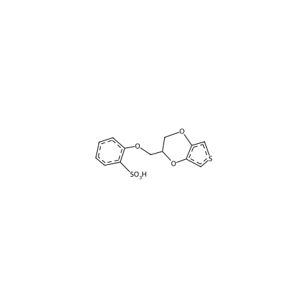 O=S(=O)(O)c1ccccc1OCC1COc2cscc2O1